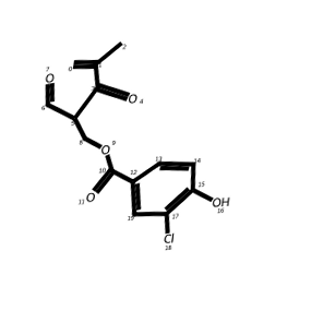 C=C(C)C(=O)C(C=O)COC(=O)c1ccc(O)c(Cl)c1